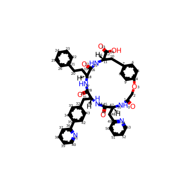 O=C1COc2ccc(cc2)C[C@@H](C(=O)O)NC(=O)[C@H](CCc2ccccc2)NC(=O)[C@@H](Cc2ccc(-c3ccccn3)cc2)NC(=O)[C@H](Cc2ccccn2)N1